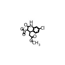 COC(=O)CC1c2ccc(Cl)cc2NC(=O)C1[N+](=O)[O-]